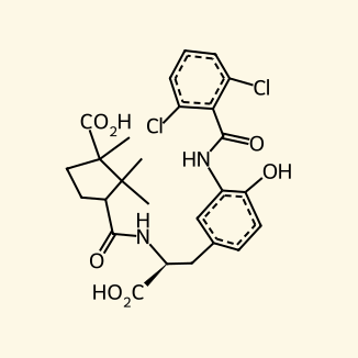 CC1(C(=O)O)CCC(C(=O)N[C@@H](Cc2ccc(O)c(NC(=O)c3c(Cl)cccc3Cl)c2)C(=O)O)C1(C)C